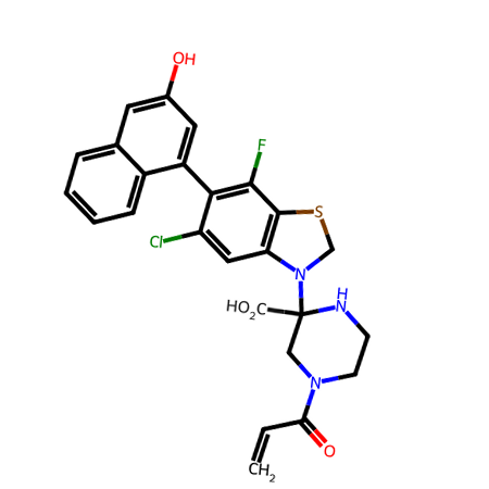 C=CC(=O)N1CCNC(C(=O)O)(N2CSc3c2cc(Cl)c(-c2cc(O)cc4ccccc24)c3F)C1